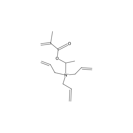 C=CC[N+](CC=C)(CC=C)C(C)OC(=O)C(=C)C